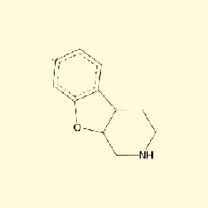 [c]1ccc2c(c1)OC1CNCCC21